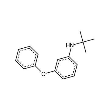 CC(C)(C)Nc1cccc(Oc2ccccc2)c1